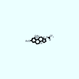 CC(=O)Oc1cc2c(c(OC(C)=O)c1)[C@H]1CC[C@]3(C)[C@@H](OC(=O)C(F)(F)F)CC[C@H]3[C@@H]1CC2